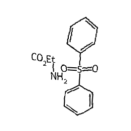 CCOC(N)=O.O=S(=O)(c1ccccc1)c1ccccc1